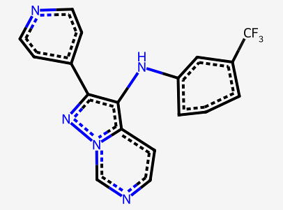 FC(F)(F)c1cccc(Nc2c(-c3ccncc3)nn3cnccc23)c1